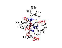 CC(O)C(Cc1ccccc1)N(NCC(O)C(Cc1ccccc1)NC(=O)C(=O)C(C)(C)C)C(=O)O